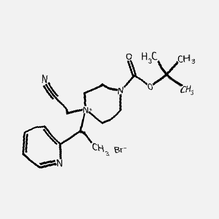 CC(c1ccccn1)[N+]1(CC#N)CCN(C(=O)OC(C)(C)C)CC1.[Br-]